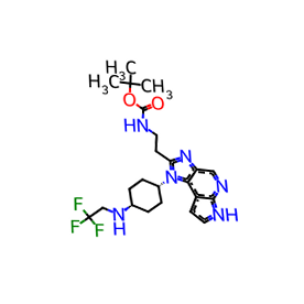 CC(C)(C)OC(=O)NCCc1nc2cnc3[nH]ccc3c2n1[C@H]1CC[C@H](NCC(F)(F)F)CC1